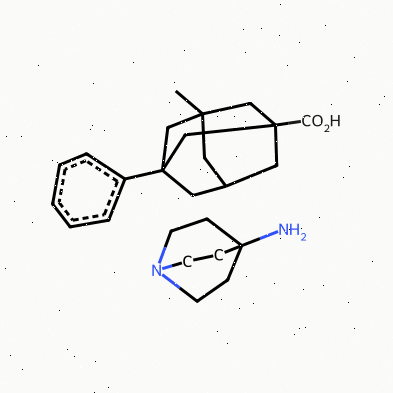 CC12CC3CC(C(=O)O)(C1)CC(c1ccccc1)(C3)C2.NC12CCN(CC1)CC2